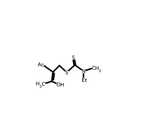 CCN(C)C(=S)SCC(C(C)=O)=C(C)O